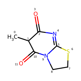 CC1C(=O)N=C2SCCN2C1=O